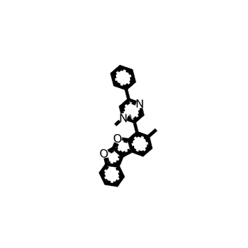 Cc1ccc2c(oc3oc4ccccc4c32)c1-c1cnc(-c2ccccc2)c[n+]1C